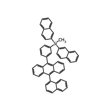 C[Si](c1cccc(-c2c3ccccc3c(-c3cccc4ccccc34)c3ccccc23)c1)(c1ccc2ccccc2c1)c1ccc2ccccc2c1